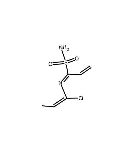 C=C/C(=N\C(Cl)=C/C)S(N)(=O)=O